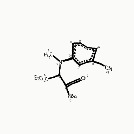 CCCCC(=O)C(C(=O)OCC)N(C)c1cccc(C#N)c1